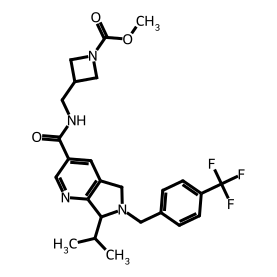 COC(=O)N1CC(CNC(=O)c2cnc3c(c2)CN(Cc2ccc(C(F)(F)F)cc2)C3C(C)C)C1